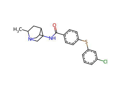 CC1CC2CCN1CC2NC(=O)c1ccc(Sc2cccc(Cl)c2)cc1